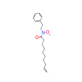 [CH]=CCCCCCCCC(=O)N(CCc1ccccc1)OC